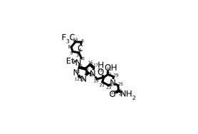 CCN(CC1CCC(C(F)(F)F)CC1)c1ncnc2c1ccn2CC1(O)CCN(CC(N)=O)CC1O